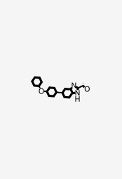 O=[C]c1nc2cc(-c3ccc(Oc4ccccc4)cc3)ccc2[nH]1